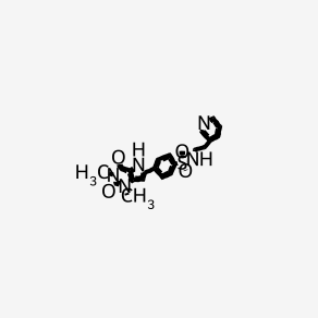 Cn1c(=O)c2[nH]c(-c3ccc(S(=O)(=O)NCCc4cccnc4)cc3)cc2n(C)c1=O